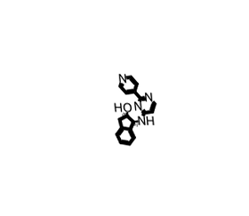 O[C@@H]1Cc2ccccc2[C@@H]1Nc1ccnc(-c2ccncc2)n1